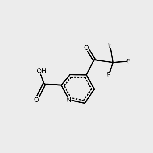 O=C(O)c1cc(C(=O)C(F)(F)F)ccn1